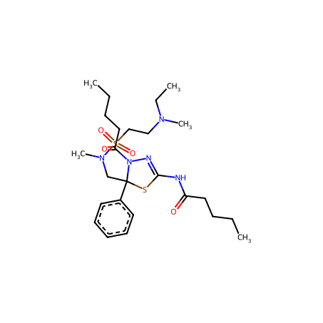 CCCCC(=O)NC1=NN(C(=O)CCCC)C(CN(C)S(=O)(=O)CCN(C)CC)(c2ccccc2)S1